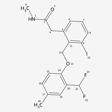 CNC(=O)Cc1cccc(I)c1COc1ccc(C)cc1C(F)F